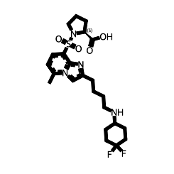 Cc1ccc(S(=O)(=O)N2CCC[C@H]2C(=O)O)c2nc(CCCCNC3CCC(F)(F)CC3)cn12